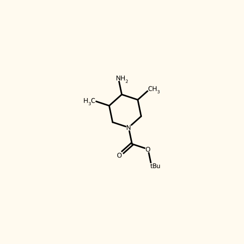 CC1CN(C(=O)OC(C)(C)C)CC(C)C1N